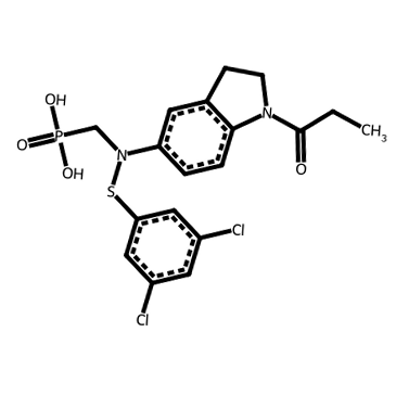 CCC(=O)N1CCc2cc(N(CP(=O)(O)O)Sc3cc(Cl)cc(Cl)c3)ccc21